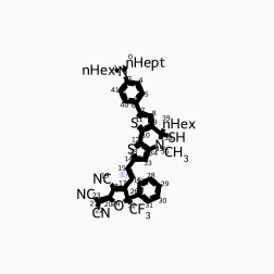 CCCCCCCN(CCCCCC)c1ccc(-c2cc3c(s2)-c2sc(/C=C/C4=C(C#N)C(=C(C#N)C#N)OC4(c4ccccc4)C(F)(F)F)cc2N(C)C3(S)CCCCCC)cc1